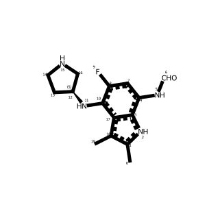 Cc1[nH]c2c(NC=O)cc(F)c(N[C@H]3CCNC3)c2c1C